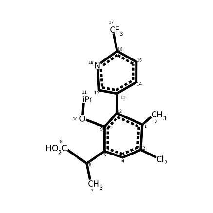 Cc1c(Cl)cc(C(C)C(=O)O)c(OC(C)C)c1-c1ccc(C(F)(F)F)nc1